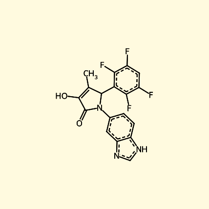 CC1=C(O)C(=O)N(c2ccc3[nH]cnc3c2)C1c1c(F)c(F)cc(F)c1F